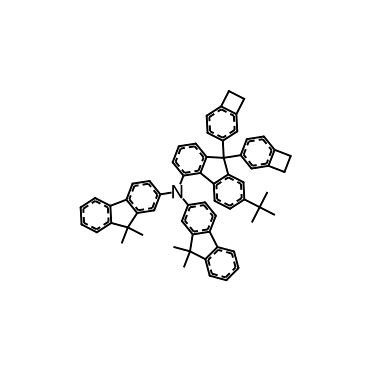 CC(C)(C)c1ccc2c(c1)C(c1ccc3c(c1)CC3)(c1ccc3c(c1)CC3)c1cccc(N(c3ccc4c(c3)C(C)(C)c3ccccc3-4)c3ccc4c(c3)C(C)(C)c3ccccc3-4)c1-2